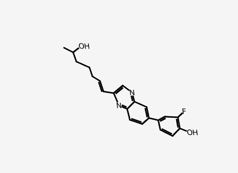 CC(O)CCCC=Cc1cnc2cc(-c3ccc(O)c(F)c3)ccc2n1